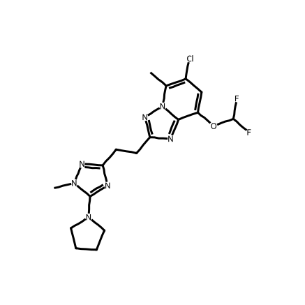 Cc1c(Cl)cc(OC(F)F)c2nc(CCc3nc(N4CCCC4)n(C)n3)nn12